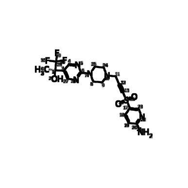 C[C@@](O)(c1cnc(N2CCN(CC#CS(=O)(=O)c3ccc(N)nc3)CC2)nc1)C(F)(F)F